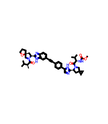 COC(=O)N[C@H](C(=O)N1CC2(CC2)C[C@H]1c1ncc(-c2ccc(C#Cc3ccc4nc([C@@H]5C[C@@]6(CCCO6)CN5C(=O)[C@@H](C)C(C)C)[nH]c4c3)cc2)[nH]1)C(C)C